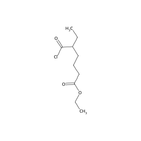 CCOC(=O)CCCC(CC)C(=O)Cl